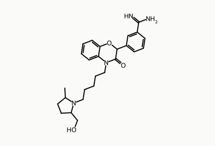 CC1CCC(CO)N1CCCCCN1C(=O)C(c2cccc(C(=N)N)c2)Oc2ccccc21